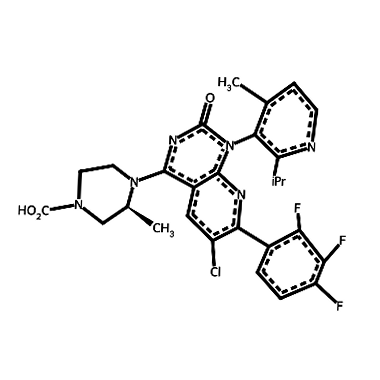 Cc1ccnc(C(C)C)c1-n1c(=O)nc(N2CCN(C(=O)O)C[C@@H]2C)c2cc(Cl)c(-c3ccc(F)c(F)c3F)nc21